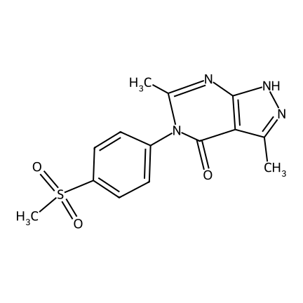 Cc1n[nH]c2nc(C)n(-c3ccc(S(C)(=O)=O)cc3)c(=O)c12